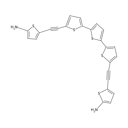 Nc1ccc(C#Cc2ccc(-c3ccc(-c4ccc(C#Cc5ccc(N)s5)s4)s3)s2)s1